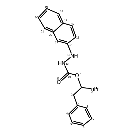 CCCC(Cc1ccccc1)OC(=O)NNc1ccc2ccccc2c1